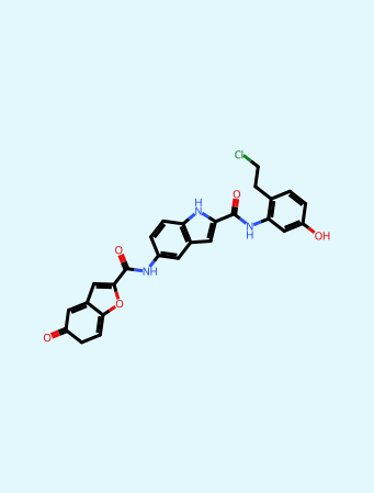 O=C1C=c2cc(C(=O)Nc3ccc4[nH]c(C(=O)Nc5cc(O)ccc5CCCl)cc4c3)oc2=CC1